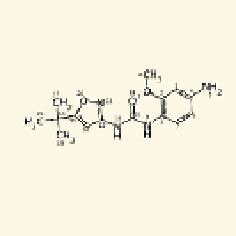 COc1cc(N)ccc1NC(=O)Nc1cc(C(C)(C)C)on1